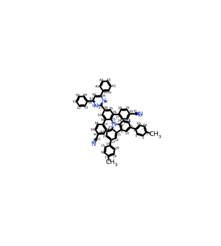 Cc1ccc(-c2ccc3c(c2)c2cc(-c4ccc(C)cc4)ccc2n3-c2c(-c3ccc(C#N)cc3)cc(-c3nc(-c4ccccc4)cc(-c4ccccc4)n3)cc2-c2ccc(C#N)cc2)cc1